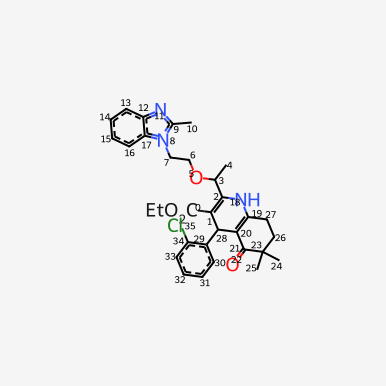 CCOC(=O)C1=C(C(C)OCCn2c(C)nc3ccccc32)NC2=C(C(=O)C(C)(C)CC2)C1c1ccccc1Cl